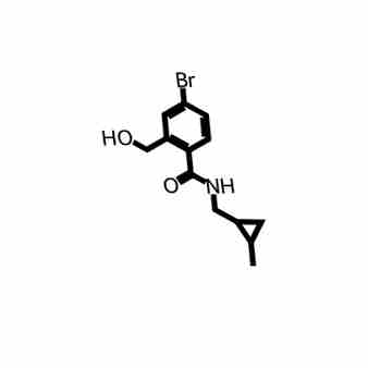 CC1CC1CNC(=O)c1ccc(Br)cc1CO